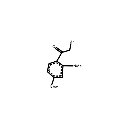 CNc1ccc(C(=O)CC(C)=O)c(NC)c1